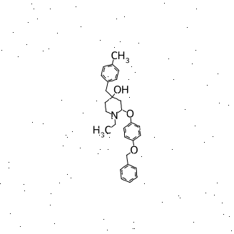 CCN1CCC(O)(Cc2ccc(C)cc2)CC1Oc1ccc(OCc2ccccc2)cc1